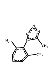 Cc1cccc(C)c1-n1nnnc1C